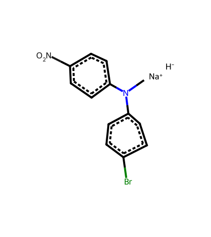 CN(c1ccc(Br)cc1)c1ccc([N+](=O)[O-])cc1.[H-].[Na+]